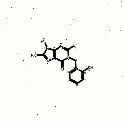 CC(C)n1c(C(F)(F)F)nc2c(=O)n(Cc3ccccc3C#N)c(Br)nc21